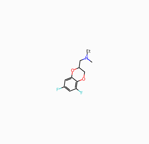 CCN(C)CC1COc2c(F)cc(F)cc2O1